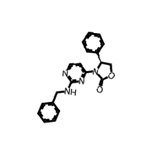 O=C1OC[C@H](c2ccccc2)N1c1ccnc(NCc2ccccc2)n1